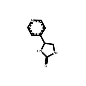 O=C1NCC(c2ccncc2)N1